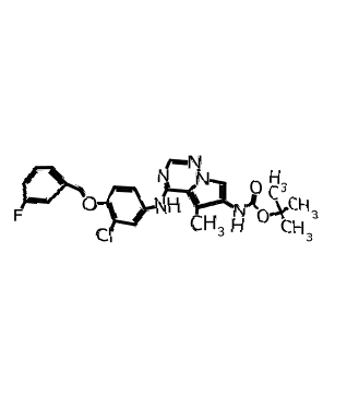 Cc1c(NC(=O)OC(C)(C)C)cn2ncnc(Nc3ccc(OCc4cccc(F)c4)c(Cl)c3)c12